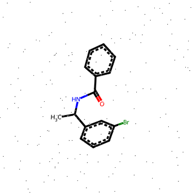 CC(NC(=O)c1ccccc1)c1cccc(Br)c1